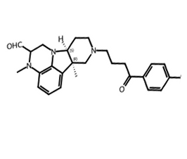 CN1c2cccc3c2N(CC1C=O)[C@H]1CCN(CCCC(=O)c2ccc(F)cc2)C[C@@]31C